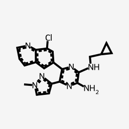 Cn1ccc(-c2nc(N)c(NCC3CC3)nc2-c2cc(Cl)c3ncccc3c2)n1